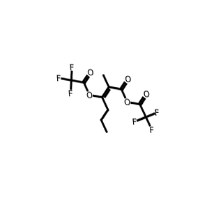 CCCC(OC(=O)C(F)(F)F)=C(C)C(=O)OC(=O)C(F)(F)F